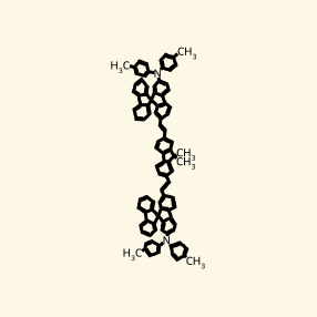 Cc1ccc(N(c2ccc(C)cc2)c2ccc3c(c2)C2(c4ccccc4-c4ccccc42)c2cc(/C=C/c4ccc5c(c4)C(C)(C)c4cc(/C=C/c6ccc7c(c6)C6(c8ccccc8-c8ccccc86)c6cc(N(c8ccc(C)cc8)c8ccc(C)cc8)ccc6-7)ccc4-5)ccc2-3)cc1